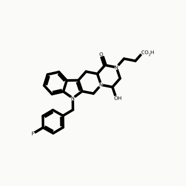 O=C(O)CCN1CC(O)N2Cc3c(c4ccccc4n3Cc3ccc(F)cc3)CC2C1=O